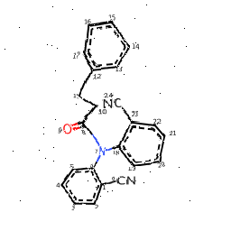 N#Cc1ccccc1N(C(=O)CCc1ccccc1)c1ccccc1C#N